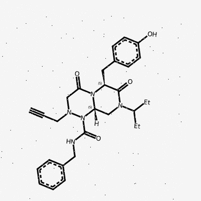 C#CCN1CC(=O)N2[C@@H](Cc3ccc(O)cc3)C(=O)N(C(CC)CC)C[C@@H]2N1C(=O)NCc1ccccc1